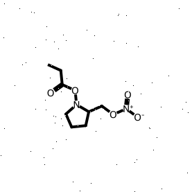 CCC(=O)ON1CCCC1CO[N+](=O)[O-]